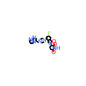 O=C1CCC(N2Cc3c(cc(F)cc3N3CCN(Cc4cnc5ncccn45)CC3)C2=O)C(=O)N1